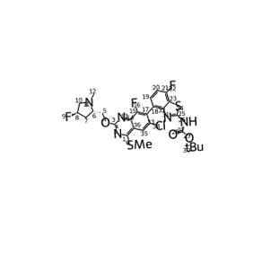 CSc1nc(OC[C@@H]2C[C@@H](F)CN2C)nc2c(F)c(-c3ccc(F)c4sc(NC(=O)OC(C)(C)C)nc34)c(Cl)cc12